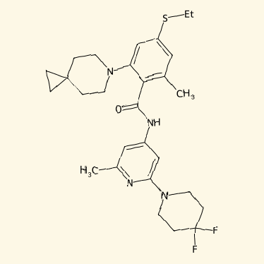 CCSc1cc(C)c(C(=O)Nc2cc(C)nc(N3CCC(F)(F)CC3)c2)c(N2CCC3(CC2)CC3)c1